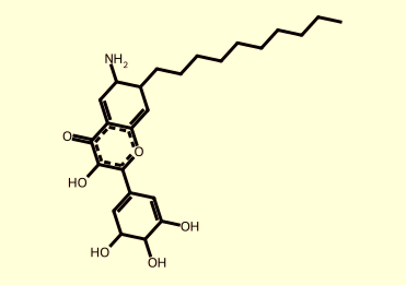 CCCCCCCCCCC1C=c2oc(C3=CC(O)C(O)C(O)=C3)c(O)c(=O)c2=CC1N